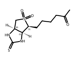 CC(=O)CCCC[C@H]1[C@H]2NC(=S)N[C@H]2CS1(=O)=O